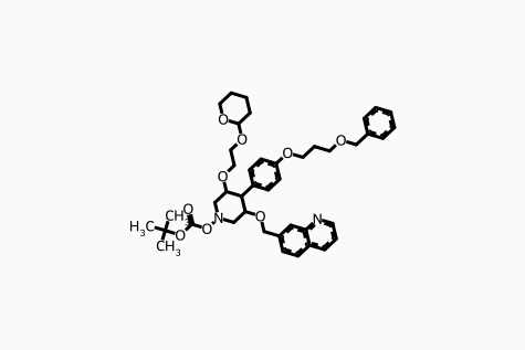 CC(C)(C)OC(=O)ON1CC(OCCOC2CCCCO2)C(c2ccc(OCCCOCc3ccccc3)cc2)C(OCc2ccc3cccnc3c2)C1